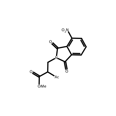 COC(=O)C(CN1C(=O)c2cccc([N+](=O)[O-])c2C1=O)C(C)=O